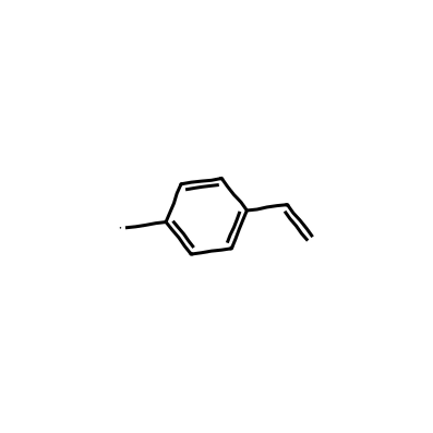 [CH2]c1ccc(C=C)cc1